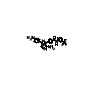 Nc1nccn2c(C34CCC(N)(CC3)C4)nc(-c3ccc(C(=O)Nc4cc(C(F)(F)F)ccn4)cc3)c12